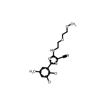 COCCOCCNc1oc(-c2cc(C)cc(Cl)c2Cl)nc1C#N